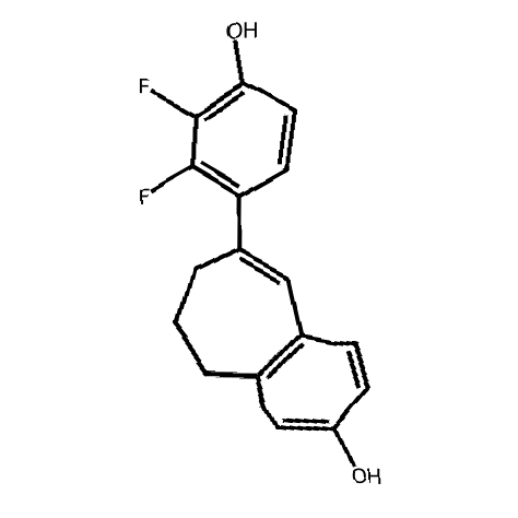 Oc1ccc2c(c1)CCCC(c1ccc(O)c(F)c1F)=C2